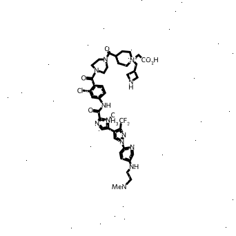 CNCCNc1ccc(-n2cc(-c3cnc(C(=O)Nc4ccc(C(=O)N5CCN(C(=O)C6CC[N+](CC(=O)O)(CC7CNC7)CC6)CC5)c(Cl)c4)n3C)c(C(F)(F)F)n2)nc1